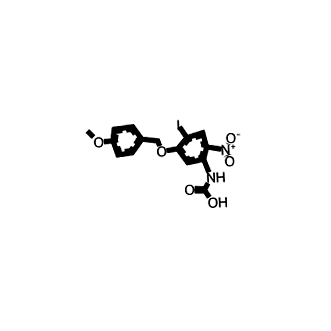 COc1ccc(COc2cc(NC(=O)O)c([N+](=O)[O-])cc2I)cc1